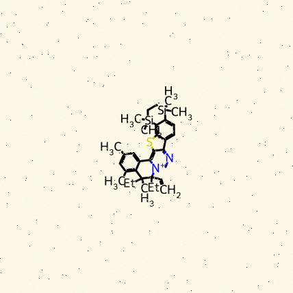 C=CC1(CC)[n+]2cnc3c(sc4c5c(ccc43)[Si](C)(C)CC[Si]5(C)C)c2-c2cc(C)cc(C)c2C1(C)CC